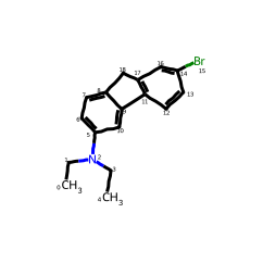 CCN(CC)c1ccc2c(c1)-c1ccc(Br)cc1C2